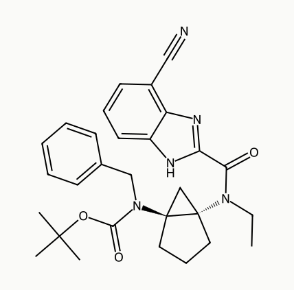 CCN(C(=O)c1nc2c(C#N)cccc2[nH]1)[C@]12CCC[C@]1(N(Cc1ccccc1)C(=O)OC(C)(C)C)C2